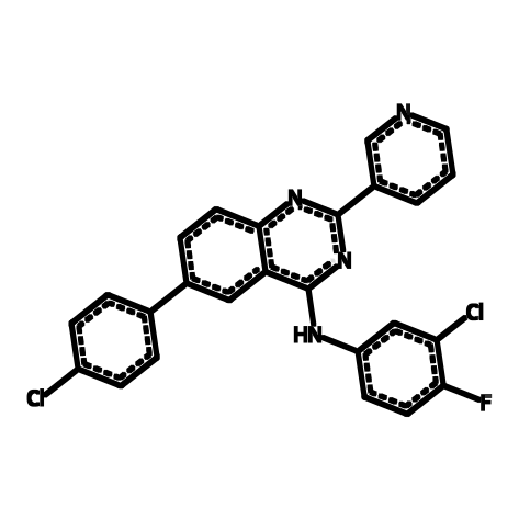 Fc1ccc(Nc2nc(-c3cccnc3)nc3ccc(-c4ccc(Cl)cc4)cc23)cc1Cl